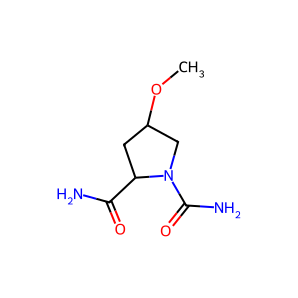 COC1CC(C(N)=O)N(C(N)=O)C1